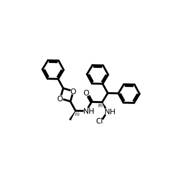 C[C@H](NC(=O)[C@H](NCl)C(c1ccccc1)c1ccccc1)C1OC(c2ccccc2)O1